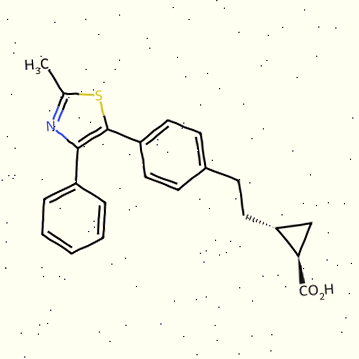 Cc1nc(-c2ccccc2)c(-c2ccc(CC[C@@H]3C[C@H]3C(=O)O)cc2)s1